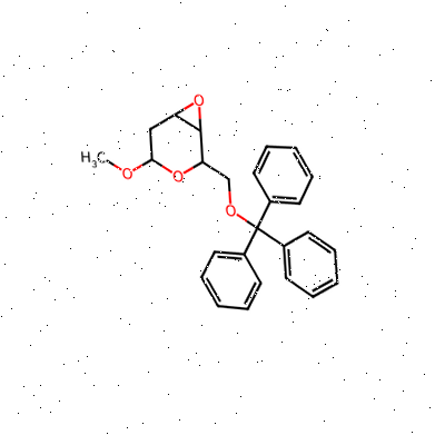 COC1CC2OC2C(COC(c2ccccc2)(c2ccccc2)c2ccccc2)O1